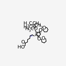 CC(C)(C)[Si](C)(C)OC[C@@H]1[C@@H](C/C=C\CCCC(=O)CO)[C@H](OC2CCCCO2)C[C@H]1OC1CCCCO1